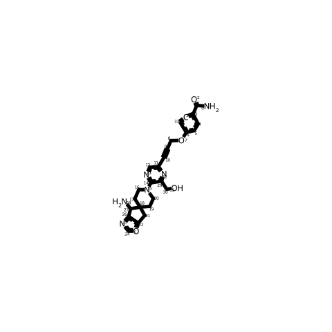 NC(=O)c1ccc(OCC#Cc2cnc(N3CCC4(CC3)Cc3ocnc3C4N)c(CO)n2)cc1